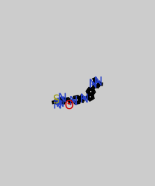 Cc1cc(-c2ccc3c(c2)CCC3N2CC3(CCN(C(=O)Cc4cn5nc(C)sc5n4)CC3)C2)nc(C)n1